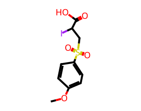 COc1ccc(S(=O)(=O)CC(I)C(=O)O)cc1